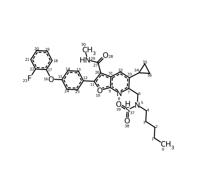 CCCCCN(Cc1nc2oc(-c3ccc(Oc4ccccc4F)cc3)c(C(=O)NC)c2cc1C1CC1)[SH](=O)=O